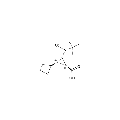 CC(C)(C)[S+]([O-])N1[C@H](C2CCC2)[C@@H]1C(=O)O